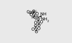 N=C(N)N.O=S(=O)([O-])[O-].O=S(=O)([O-])[O-].O=S(=O)([O-])[O-].[Ga+3].[Ga+3]